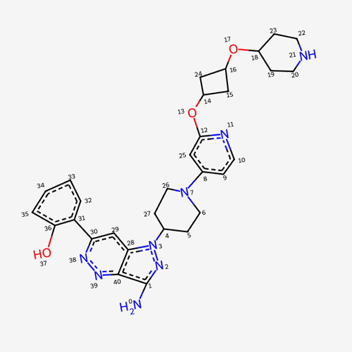 Nc1nn(C2CCN(c3ccnc(OC4CC(OC5CCNCC5)C4)c3)CC2)c2cc(-c3ccccc3O)nnc12